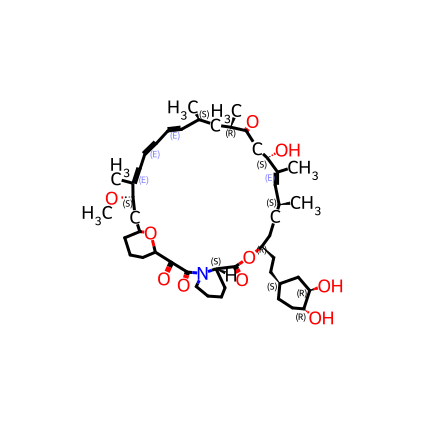 CO[C@H]1CC2CCCC(O2)C(=O)C(=O)N2CCCC[C@H]2C(=O)O[C@H](CC[C@@H]2CC[C@@H](O)[C@H](O)C2)CC[C@H](C)/C=C(\C)[C@@H](O)CC(=O)[C@H](C)C[C@H](C)/C=C/C=C/C=C/1C